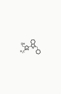 Cn1nc(-c2nn(Cc3ccccc3)c3ccccc23)cc1CO